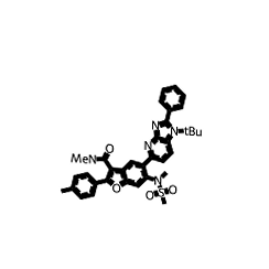 CNC(=O)c1c(-c2ccc(C)cc2)oc2cc(N(C)S(C)(=O)=O)c(-c3ccc4c(n3)nc(-c3ccccc3)n4C(C)(C)C)cc12